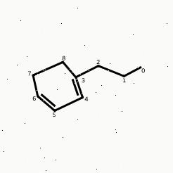 CCCC1=CC=CCC1